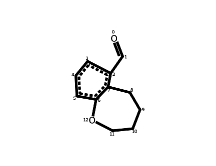 O=Cc1cccc2c1CCCCO2